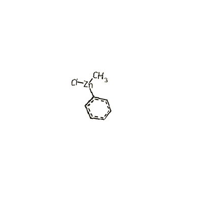 [CH3][Zn]([Cl])[c]1ccccc1